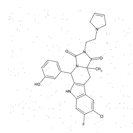 CC12Cc3c([nH]c4cc(F)c(Cl)cc34)C(c3cccc(O)c3)N1C(=O)N(CCN1CC=CC1)C2=O